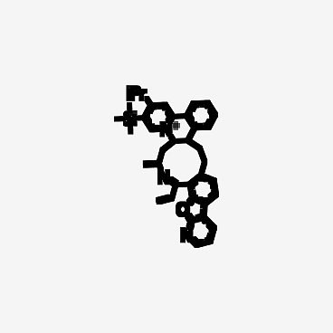 C=C/C1=N/C(=C)CC2C(CCc3ccc4c(oc5ncccc54)c31)c1ccccc1-c1cc(C(C)C)c([Si](C)(C)C)c[n+]12